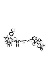 Cc1sc2c(c1C)C(c1ccc(Cl)cc1)=N[C@@H](CC(=O)NCCCOCCCOc1cccc3c1C(=O)N(C1CCC(=O)NC1=O)C3=O)c1nnc(C)n1-2